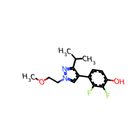 COCCn1cc(-c2ccc(O)c(F)c2F)c(C(C)C)n1